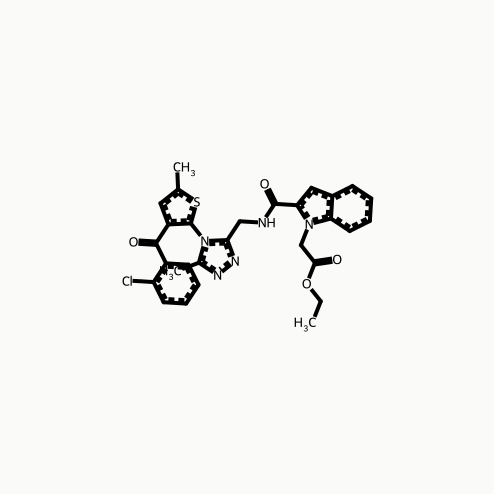 CCOC(=O)Cn1c(C(=O)NCc2nnc(C)n2-c2sc(C)cc2C(=O)c2ccccc2Cl)cc2ccccc21